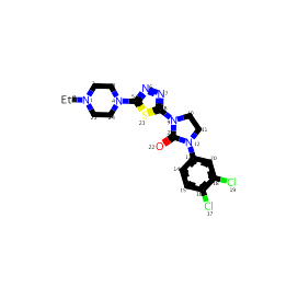 CCN1CCN(c2nnc(N3CCN(c4ccc(Cl)c(Cl)c4)C3=O)s2)CC1